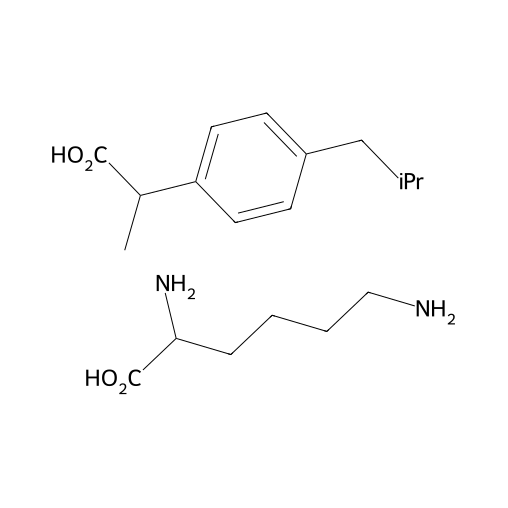 CC(C)Cc1ccc(C(C)C(=O)O)cc1.NCCCCC(N)C(=O)O